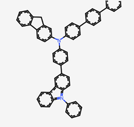 c1ccc(-c2ccc(-c3ccc(N(c4ccc(-c5ccc6c(c5)c5ccccc5n6-c5ccccc5)cc4)c4ccc5c(c4)Cc4ccccc4-5)cc3)cc2)cc1